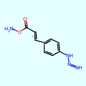 N=NNc1ccc(/C=C/C(=O)ON)cc1